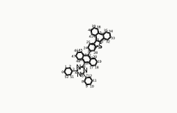 c1ccc(-c2nc(-c3ccccc3)nc(-c3c4ccccc4c(-c4ccc5c(c4)sc4c6ccccc6c6ccccc6c54)c4ccccc34)n2)cc1